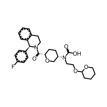 O=C(O)N(CCOC1CCCCO1)[C@H]1CC[C@@H](C(=O)N2CCc3ccccc3[C@@H]2c2ccc(F)cc2)OC1